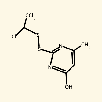 Cc1cc(O)nc(SSC(Cl)C(Cl)(Cl)Cl)n1